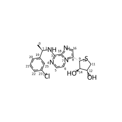 C[C@@H](Nc1nccn2c([C@@H]3SC[C@@H](O)[C@H]3O)cnc12)c1cccc(Cl)c1